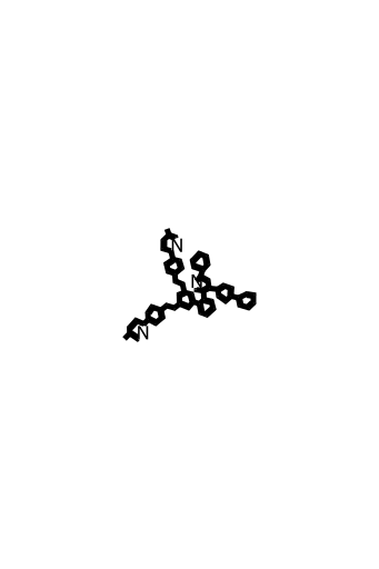 Cc1ccc(-c2ccc(CCc3cc(CCc4ccc(-c5ccc(C)cn5)cc4)cc(-c4ccccc4-c4cnc(-c5ccccc5)cc4-c4ccc(-c5ccccc5)cc4)c3)cc2)nc1